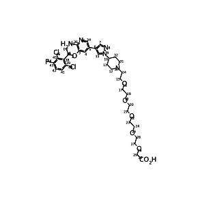 C[C@@H](Oc1cc(-c2cnn(C3CCN(CCOCCOCCOCCOCCOCC(=O)O)CC3)c2)cnc1N)c1c(Cl)ccc(F)c1Cl